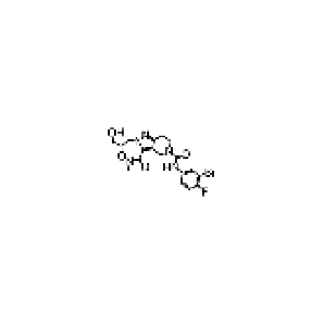 CN1OC(CO)Cn2nc3c(c2C1=O)CN(C(=O)Nc1ccc(F)c(Br)c1)CC3